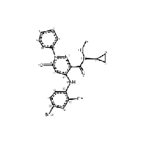 CON(C(=O)c1nn(-c2ccccc2)c(=O)cc1Nc1ccc(Br)cc1F)C1CC1